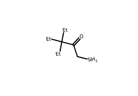 CCC(CC)(CC)C(=O)C[SiH3]